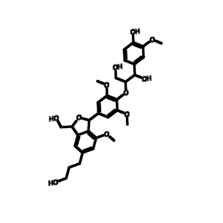 COc1cc(C(O)C(CO)Oc2c(OC)cc(C3OC(CO)c4cc(CCCO)cc(OC)c43)cc2OC)ccc1O